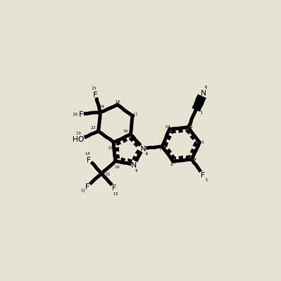 N#Cc1cc(F)cc(-n2nc(C(F)(F)F)c3c2CCC(F)(F)C3O)c1